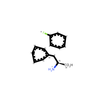 Fc1cc[c]cc1.N[C@@H](Cc1ccccc1)C(=O)O